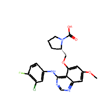 COc1cc(OC[C@@H]2CCCN2C(=O)O)c2c(Nc3ccc(F)c(Cl)c3)ncnc2c1